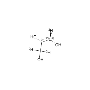 [2H][13C@@H](O)[C@@H](O)C([2H])([2H])O